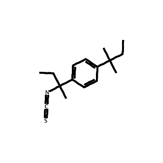 CCC(C)(C)c1ccc(C(C)(CC)N=C=S)cc1